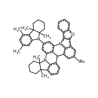 Cc1cc(C)c2c(c1)N(c1cc3c4c(c1)-n1c5c(cc(C(C)(C)C)cc5c5oc6ccccc6c51)B4c1cccc4c1N3C1(C)CCCCC41C)C1(C)CCCCC21C